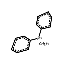 C.Cl.c1ccc(Nc2ccccc2)cc1